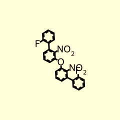 O=[N+]([O-])c1c(Oc2cccc(-c3ccccc3F)c2[N+](=O)[O-])cccc1-c1ccccc1F